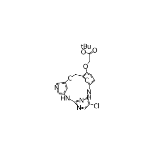 CC(C)(C)OC(=O)COc1ccc2cc1CCc1cncc(c1)Nc1ncc(Cl)c(n1)N2